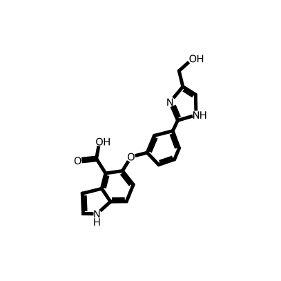 O=C(O)c1c(Oc2cccc(-c3nc(CO)c[nH]3)c2)ccc2[nH]ccc12